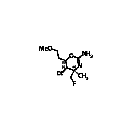 CC[C@H]1[C@@H](CCOC)OC(N)=N[C@@]1(C)CF